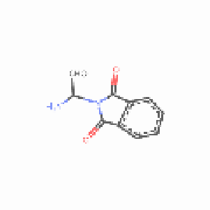 NC(C=O)N1C(=O)c2ccccc2C1=O